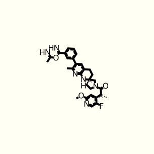 COc1cc([C@@H](C)C(=O)N2CC[C@@]3(CCc4cc(-c5cccc(C(=N)OC(C)=N)c5)c(C)nc4N3)C2)c(F)cn1